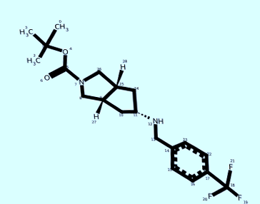 CC(C)(C)OC(=O)N1C[C@H]2C[C@@H](NCc3ccc(C(F)(F)F)cc3)C[C@H]2C1